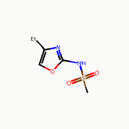 CCc1coc(NS(C)(=O)=O)n1